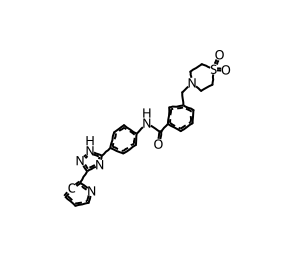 O=C(Nc1ccc(-c2nc(-c3ccccn3)n[nH]2)cc1)c1cccc(CN2CCS(=O)(=O)CC2)c1